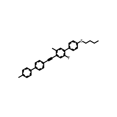 CCCCSc1ccc(-c2cc(C)c(C#Cc3ccc(-c4ccc(C)cc4)cc3)cc2F)cc1